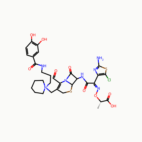 C[C@H](O/N=C(\C(=O)NC1C(=O)N2C(C=O)=C(C[N+]3(CCCNC(=O)c4ccc(O)c(O)c4)CCCCC3)CSC12)c1nc(N)sc1Cl)C(=O)O